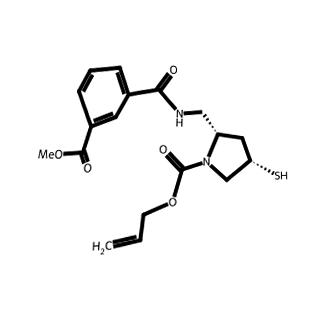 C=CCOC(=O)N1C[C@@H](S)C[C@H]1CNC(=O)c1cccc(C(=O)OC)c1